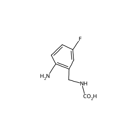 Nc1ccc(F)cc1CNC(=O)O